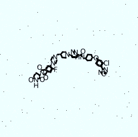 O=C1CC[C@H](N2C(=O)c3cc(F)c(N4CCN(CC5CCN(c6ccc(C(=O)NC7CCC(Oc8ccc(-c9ncon9)c(Cl)c8)CC7)nn6)CC5)CC4)cc3C2=O)C(=O)N1